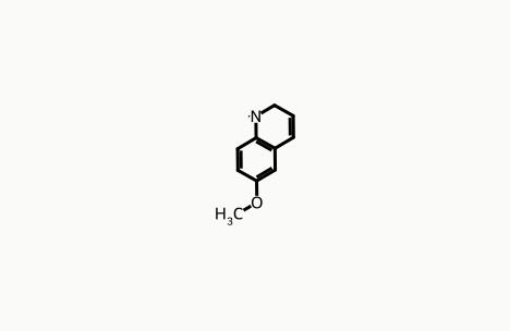 COc1ccc2c(c1)C=CC[N]2